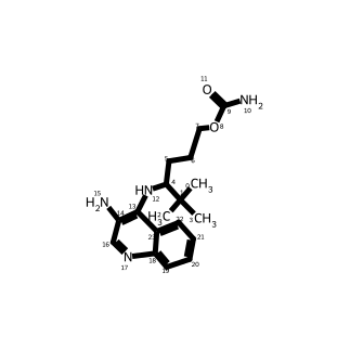 CC(C)(C)C(CCCOC(N)=O)Nc1c(N)cnc2ccccc12